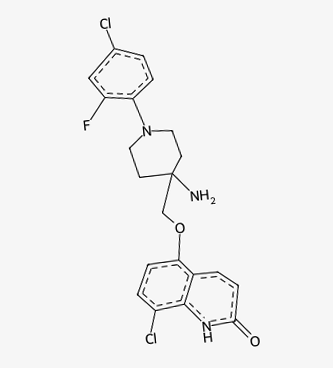 NC1(COc2ccc(Cl)c3[nH]c(=O)ccc23)CCN(c2ccc(Cl)cc2F)CC1